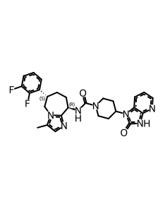 Cc1cnc2n1C[C@H](c1cccc(F)c1F)CC[C@H]2NC(=O)N1CCC(n2c(=O)[nH]c3ncccc32)CC1